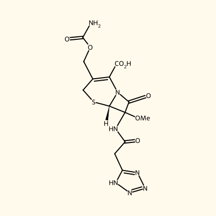 COC1(NC(=O)Cc2nnn[nH]2)C(=O)N2C(C(=O)O)=C(COC(N)=O)CS[C@H]21